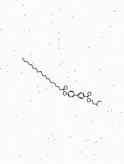 CCCCCCCCCCCCCCCCCCC(=O)Oc1ccc(-c2ccc(C(=O)OCCC(C)CC)cc2)cc1